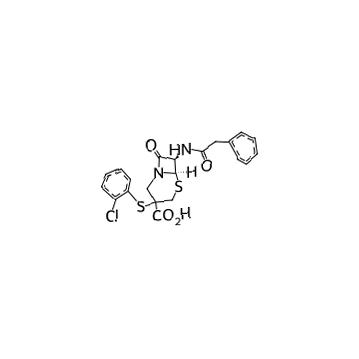 O=C(Cc1ccccc1)N[C@@H]1C(=O)N2CC(Sc3ccccc3Cl)(C(=O)O)CS[C@H]12